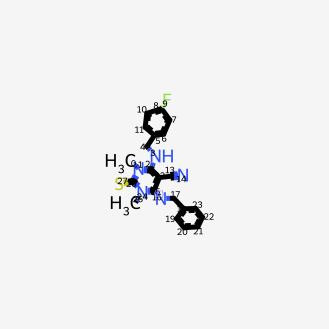 Cn1c(NCc2ccc(F)cc2)c(C#N)/c(=N\Cc2ccccc2)n(C)c1=S